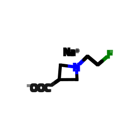 O=C([O-])C1CN(CCF)C1.[Na+]